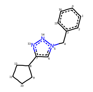 c1ccc(Cn2cc(C3CCCC3)nn2)cc1